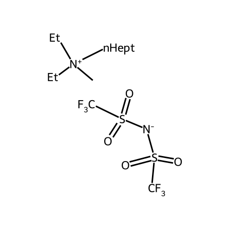 CCCCCCC[N+](C)(CC)CC.O=S(=O)([N-]S(=O)(=O)C(F)(F)F)C(F)(F)F